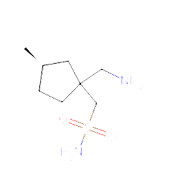 C[C@H]1CC(CN)(CS(N)(=O)=O)C[C@@H]1C